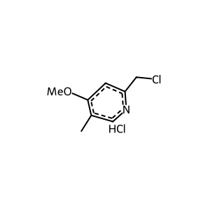 COc1cc(CCl)ncc1C.Cl